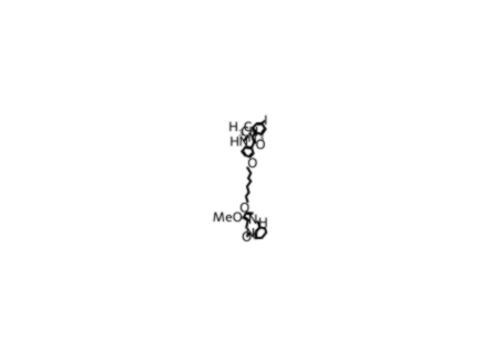 COc1c(OCCCCCCCCOc2ccc3c(c2)C(=O)N(c2ccc(I)cc2C)C(C)N3)cn2c1C=[N+]([O-])C1=CCCC[C@H]1C2